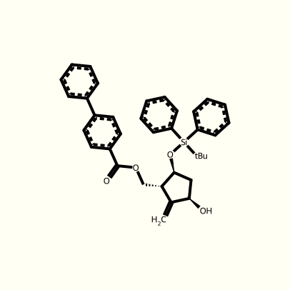 C=C1[C@H](O)C[C@H](O[Si](c2ccccc2)(c2ccccc2)C(C)(C)C)[C@H]1COC(=O)c1ccc(-c2ccccc2)cc1